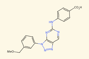 COCc1cccc(-n2nnc3cnc(Nc4ccc(C(=O)O)cc4)nc32)c1